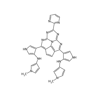 Cn1ccc(Nc2c[nH]cc2-c2nc3nc(-c4ncccn4)nc4nc(-c5c[nH]cc5Nc5ccn(C)c5)c5ccc2c5n34)c1